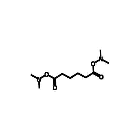 CN(C)OC(=O)CCCCC(=O)ON(C)C